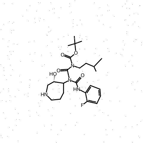 CC(C)CCN(C(=O)OC(C)(C)C)C(=O)N(C(=O)Nc1ccccc1F)C1CCCNC[C@@H]1O